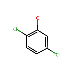 [O]c1cc(Cl)ccc1Cl